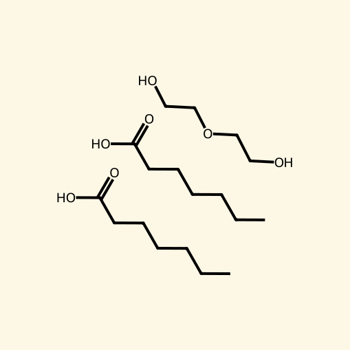 CCCCCCC(=O)O.CCCCCCC(=O)O.OCCOCCO